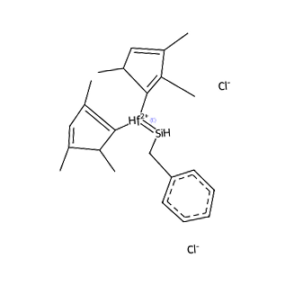 CC1=CC(C)[C](/[Hf+2](=[SiH]/Cc2ccccc2)[C]2=C(C)C=C(C)C2C)=C1C.[Cl-].[Cl-]